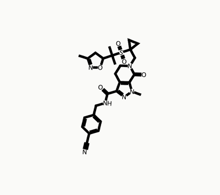 CC1=NOC(C(C)(C)S(=O)(=O)C2(CN3CCc4c(C(=O)NCc5ccc(C#N)cc5)nn(C)c4C3=O)CC2)C1